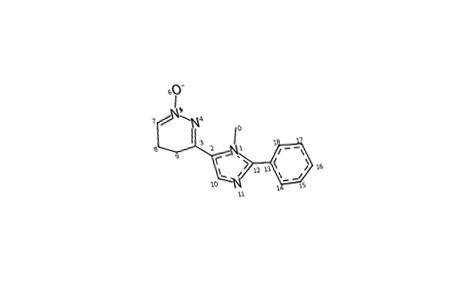 Cn1c(C2=N[N+]([O-])=CCC2)cnc1-c1ccccc1